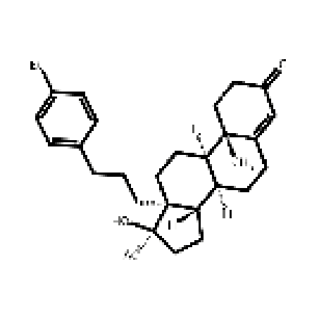 CCc1ccc(CCC[C@]23CC[C@@H]4[C@@H](CCC5=CC(=O)CC[C@]54C)[C@@H]2CC[C@]3(O)C(C)=O)cc1